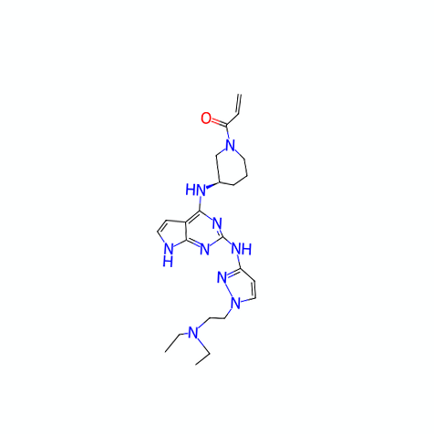 C=CC(=O)N1CCC[C@@H](Nc2nc(Nc3ccn(CCN(CC)CC)n3)nc3[nH]ccc23)C1